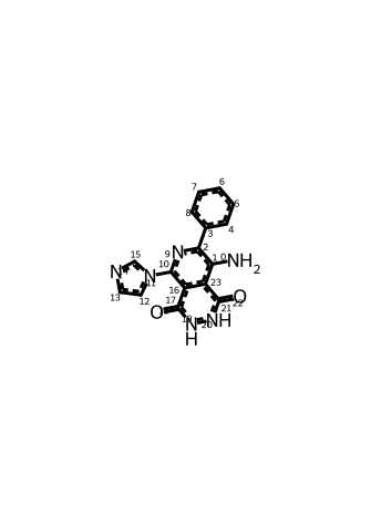 Nc1c(-c2ccccc2)nc(-n2ccnc2)c2c(=O)[nH][nH]c(=O)c12